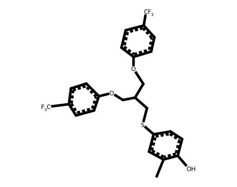 Cc1cc(SCC(COc2ccc(C(F)(F)F)cc2)COc2ccc(C(F)(F)F)cc2)ccc1O